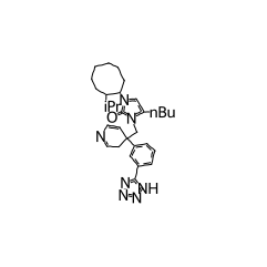 CCCCc1cn(C2CCCCCCC2C(C)C)c(=O)n1CC1(c2cccc(-c3nnn[nH]3)c2)C=CN=CC1